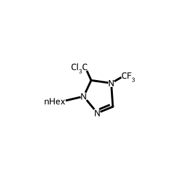 CCCCCCN1N=CN(C(F)(F)F)C1C(Cl)(Cl)Cl